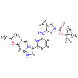 CC(C)Oc1ccn2c(-c3cccc(NC4CN(C(=O)OC(C)(C)C)CC45CC5)n3)cnc2c1